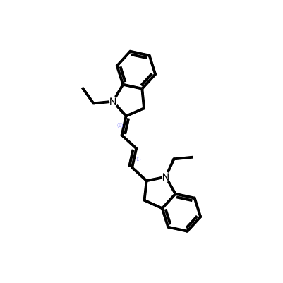 CCN1/C(=C/C=C/C2Cc3ccccc3N2CC)Cc2ccccc21